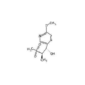 COc1cnc([C@H](O)[C@@H](C)S(C)(=O)=O)cn1